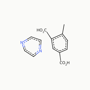 Cc1ccc(C(=O)O)cc1C(=O)O.c1cnccn1